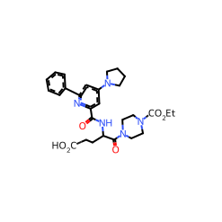 CCOC(=O)N1CCN(C(=O)C(CCC(=O)O)NC(=O)c2cc(N3CCCC3)cc(-c3ccccc3)n2)CC1